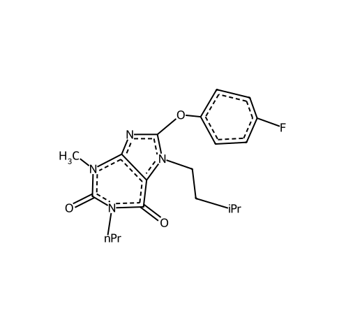 CCCn1c(=O)c2c(nc(Oc3ccc(F)cc3)n2CCC(C)C)n(C)c1=O